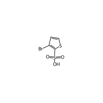 O=S(=O)(O)c1sccc1Br